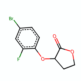 O=C1OCCC1Oc1ccc(Br)cc1F